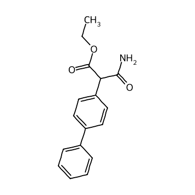 CCOC(=O)C(C(N)=O)c1ccc(-c2ccccc2)cc1